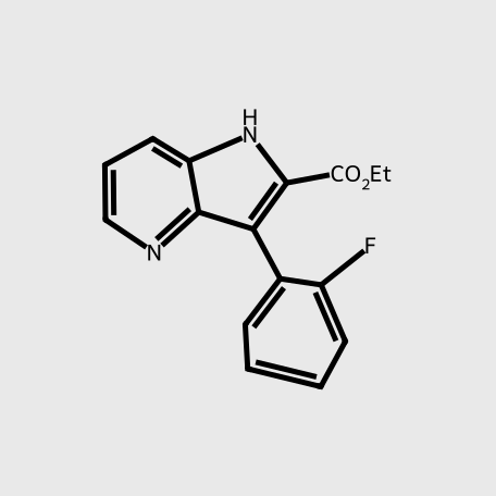 CCOC(=O)c1[nH]c2cccnc2c1-c1ccccc1F